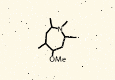 COC1CC(C)N(C)C(C)CC1C